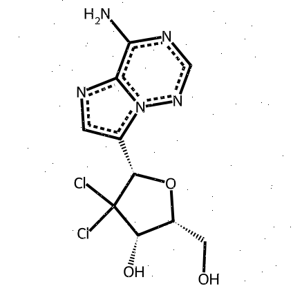 Nc1ncnn2c([C@@H]3O[C@H](CO)[C@H](O)C3(Cl)Cl)cnc12